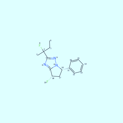 CCC(C)(F)c1nc2n(n1)[C@H](c1ccccc1)C[C@@H]2F